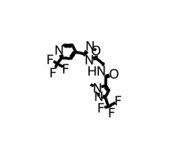 Cn1nc(C(F)(F)F)cc1C(=O)NCc1nc(-c2ccnc(C(F)(F)F)c2)no1